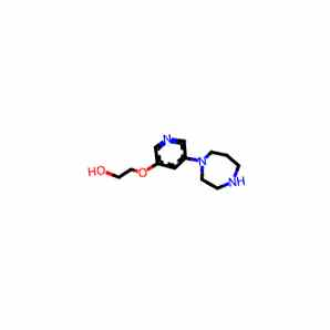 OCCOc1cncc(N2CCCNCC2)c1